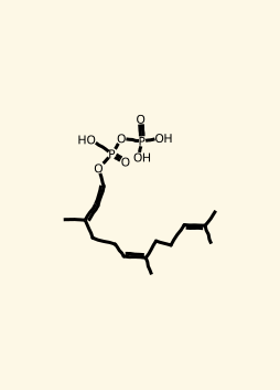 CC(=C=COP(=O)(O)OP(=O)(O)O)CCC=C(C)CCC=C(C)C